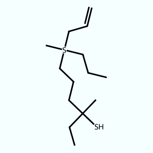 C=CCS(C)(CCC)CCCC(C)(S)CC